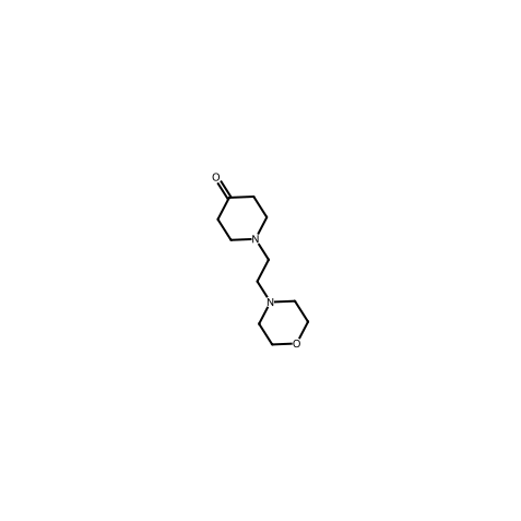 O=C1CCN(CCN2CCOCC2)CC1